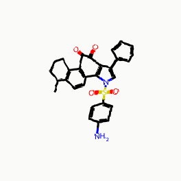 CC1CCCc2c1ccc1c2C(=O)C(=O)c2c(-c3ccccc3)cn(S(=O)(=O)c3ccc(N)cc3)c2-1